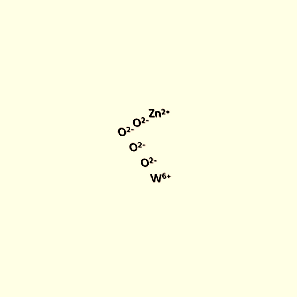 [O-2].[O-2].[O-2].[O-2].[W+6].[Zn+2]